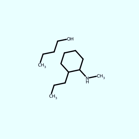 CCCC1CCCCC1NC.CCCCO